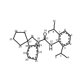 CC(C)c1cccc(C(C)C)c1NC(=O)NCC1(c2ccccn2)CCCC1